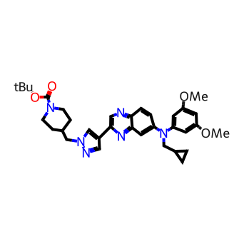 COc1cc(OC)cc(N(CC2CC2)c2ccc3ncc(-c4cnn(CC5CCN(C(=O)OC(C)(C)C)CC5)c4)nc3c2)c1